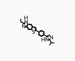 CCc1nc2cc3sc(-c4ccc(-c5cnc(C(C)C)[nH]5)cc4)cc3cc2[nH]1